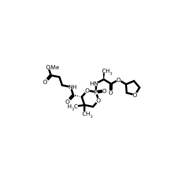 COC(=O)CCNC(=O)[C@@H]1OP(=O)(N[C@@H](C)C(=O)OC2CCOC2)OCC1(C)C